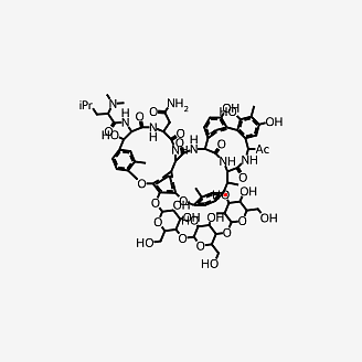 CC(=O)C1NC(=O)C2NC(=O)C(NC(=O)C3NC(=O)C(CC(N)=O)NC(=O)C(NC(=O)C(CC(C)C)N(C)C)C(O)c4ccc(c(C)c4)Oc4cc3cc(c4OC3OC(CO)C(OC4OC(CO)C(OC5OC(CO)C(O)C(O)C5C)C(O)C4O)C(O)C3O)Oc3ccc(cc3C)C2C)c2ccc(O)c(c2)-c2c1cc(O)c(C)c2O